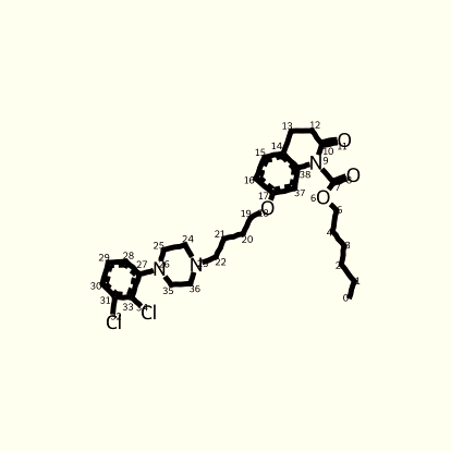 CCCCCCOC(=O)N1C(=O)CCc2ccc(OCCCCN3CCN(c4cccc(Cl)c4Cl)CC3)cc21